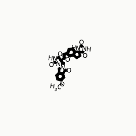 COc1ccc2c(c1)C(=O)N(CC1(c3cc4ccc5c(c4o3)CCC53NC(=O)NC3=O)NC(=O)NC1=O)C2